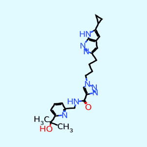 CC(C)(O)c1cccc(CNC(=O)c2cn(CCCCc3cc4cc(C5CC5)[nH]c4nn3)nn2)n1